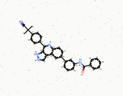 CC(C)(C#N)c1ccc(-c2nc3ccc(-c4cccc(NC(=O)c5ccccc5)c4)cc3c3cn[nH]c23)cc1